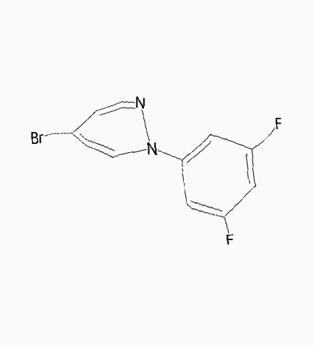 Fc1cc(F)cc(-n2cc(Br)cn2)c1